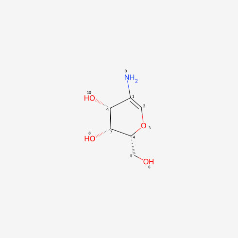 NC1=CO[C@H](CO)[C@H](O)[C@@H]1O